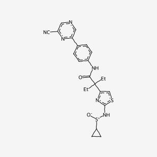 CCC(CC)(C(=O)Nc1ccc(-c2cncc(C#N)n2)cc1)c1csc(N[S+]([O-])C2CC2)n1